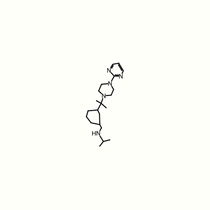 CC(C)NCC1CCCC(C(C)(C)N2CCN(c3ncccn3)CC2)C1